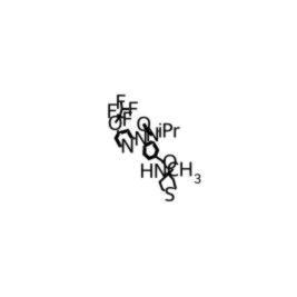 CC(C)n1c(=O)n(-c2cc(OC(F)(F)C(F)F)ccn2)c2ccc(C(=O)NC3(C)CCSCC3)cc21